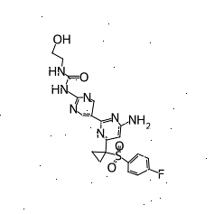 Nc1cc(C2(S(=O)(=O)c3ccc(F)cc3)CC2)nc(-c2cnc(NC(=O)NCCO)nc2)n1